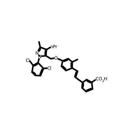 CCCc1c(C)nn(-c2c(Cl)cccc2Cl)c1COc1ccc(C=Cc2cccc(C(=O)O)c2)c(C)c1